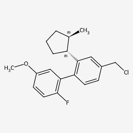 COc1ccc(F)c(-c2ccc(CCl)cc2[C@@H]2CCC[C@H]2C)c1